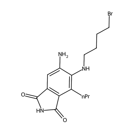 CCCc1c(NCCCCBr)c(N)cc2c1C(=O)NC2=O